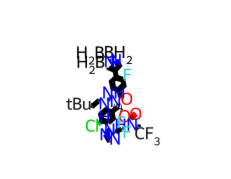 BC(B)(B)n1cc(-c2ccc(C(=O)N(C(=N)NCCC(C)(C)C)[C@H](COC(=O)NCC(F)(F)F)c3ccc(Cl)c(-n4ncnc4C(F)F)c3)cc2F)cn1